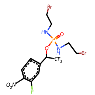 O=[N+]([O-])c1ccc(C(OP(=O)(NCCBr)NCCBr)C(F)(F)F)cc1F